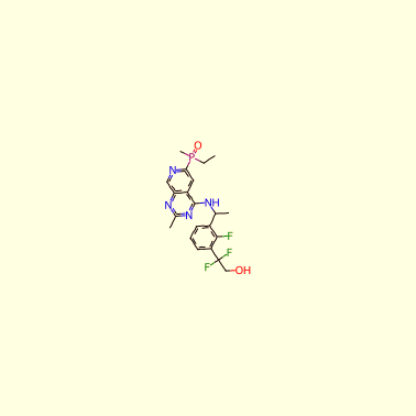 CCP(C)(=O)c1cc2c(NC(C)c3cccc(C(F)(F)CO)c3F)nc(C)nc2cn1